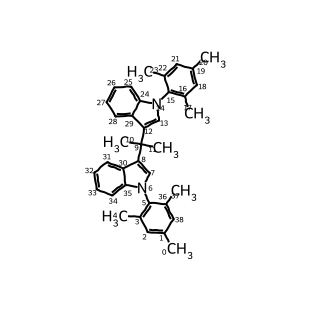 Cc1cc(C)c(-n2cc(C(C)(C)c3cn(-c4c(C)cc(C)cc4C)c4ccccc34)c3ccccc32)c(C)c1